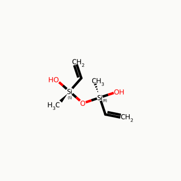 C=C[Si@](C)(O)O[Si@](C)(O)C=C